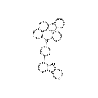 c1ccc(N(c2ccc(-c3cccc4c3oc3ccccc34)cc2)c2cccc3ccc4c5ccccc5oc4c23)cc1